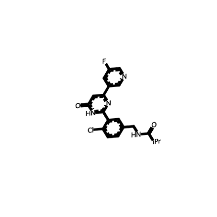 CC(C)C(=O)NCc1ccc(Cl)c(-c2nc(-c3cncc(F)c3)cc(=O)[nH]2)c1